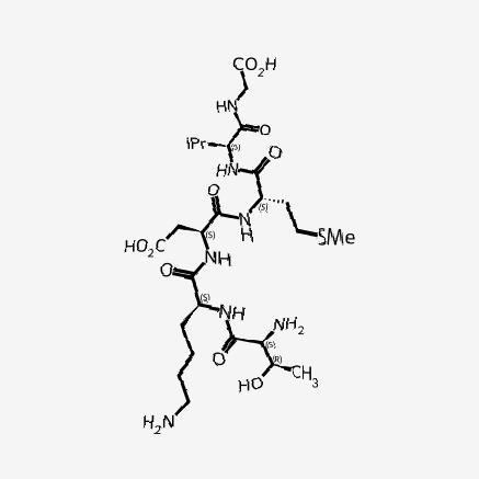 CSCC[C@H](NC(=O)[C@H](CC(=O)O)NC(=O)[C@H](CCCCN)NC(=O)[C@@H](N)[C@@H](C)O)C(=O)N[C@H](C(=O)NCC(=O)O)C(C)C